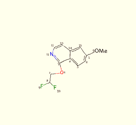 COc1ccc2c(OCC(F)F)nccc2c1